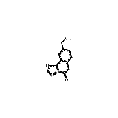 CSc1ccc2nc(=O)n3nc[nH]c3c2c1